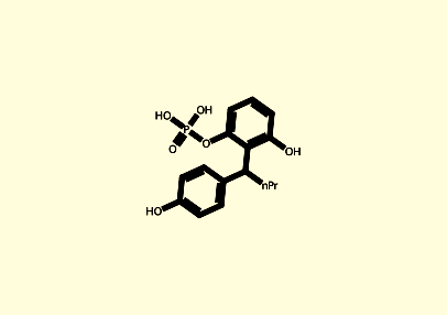 CCCC(c1ccc(O)cc1)c1c(O)cccc1OP(=O)(O)O